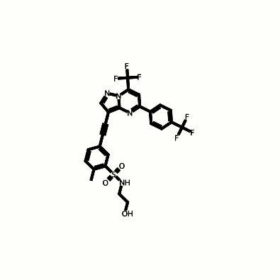 Cc1ccc(C#Cc2cnn3c(C(F)(F)F)cc(-c4ccc(C(F)(F)F)cc4)nc23)cc1S(=O)(=O)NCCO